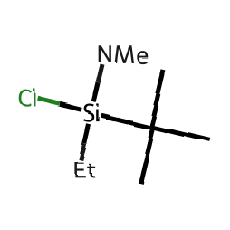 CC[Si](Cl)(NC)C(C)(C)C